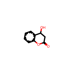 O=C1CC(O)c2ccccc2O1